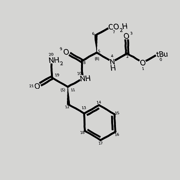 CC(C)(C)OC(=O)N[C@H](CC(=O)O)C(=O)N[C@@H](Cc1ccccc1)C(N)=O